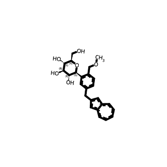 COCc1ccc(Cc2cc3cccccc-3c2)cc1[C@@H]1O[C@H](CO)[C@@H](O)[C@H](O)[C@H]1O